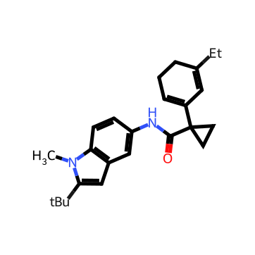 CCC1=CC(C2(C(=O)Nc3ccc4c(c3)cc(C(C)(C)C)n4C)CC2)=CCC1